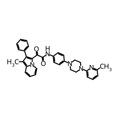 Cc1cccc(N2CCN(c3ccc(NC(=O)C(=O)c4c(-c5ccccc5)c(C)c5ccccn45)cc3)CC2)n1